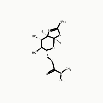 CNC1=N[C@@H]2[C@@H](O)[C@H](O)[C@@H](COC(=O)N(C)C)O[C@@H]2S1